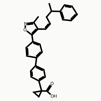 Cc1noc(-c2ccc(-c3ccc(C4(C(=O)O)CC4)cc3)cc2)c1/C=C\CC(C)c1ccccc1